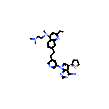 CCc1cc(N(C)CCN(C)C)c2ccc(CCc3cncc(-n4cc([C@H]5CCCO5)c5c(N)ncnc54)c3)cc2n1